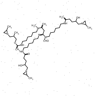 C=C(CCC(O)CN1CC1C)NCCCCCCN(C=O)/C(CC(=C)N(C)CCCCCCNC(=C)OCC(C)CN1CC1C)=N\CCCCCCNC(=O)CCC(O)CN1CC1C